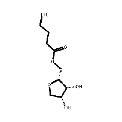 CCCCC(=O)OC[C@H]1OC[C@@H](O)[C@H]1O